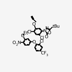 C#CCOc1cc(-n2nc(C(C)(C)C)oc2=O)c(Cl)cc1Cl.CCOc1cc(Oc2ccc(C(F)(F)F)cc2Cl)ccc1[N+](=O)[O-]